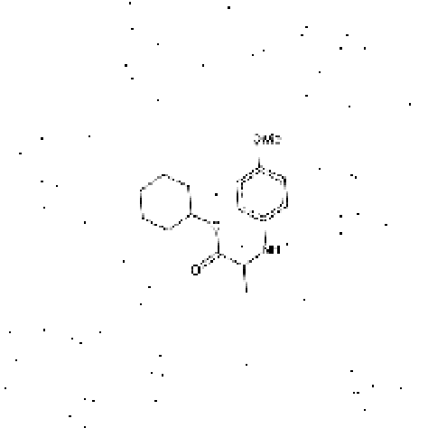 COc1ccc(NC(C)C(=O)OC2CCCCC2)cc1